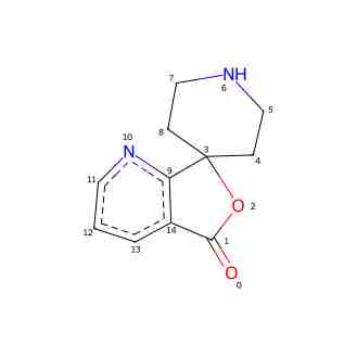 O=C1OC2(CCNCC2)c2ncccc21